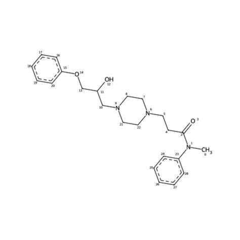 CN(C(=O)CCN1CCN(CC(O)COc2ccccc2)CC1)c1ccccc1